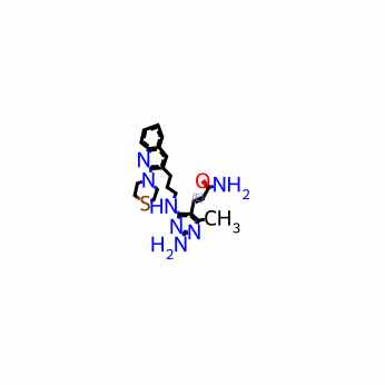 Cc1nc(N)nc(NCCCc2cc3ccccc3nc2N2CCSCC2)c1/C=C/C(N)=O